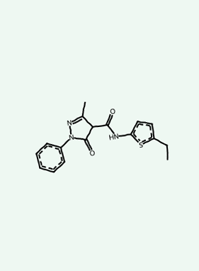 CCc1ccc(NC(=O)C2C(=O)N(c3ccccc3)N=C2C)s1